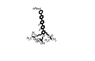 C=C(C)C(=O)OCCCc1cc(-c2ccc(-c3ccc(-c4ccc(C5CCC(CCCCC)CC5)cc4)cc3F)cc2F)cc(CCCOC(=O)C(=C)C)c1OCCC(CO)(CO)CCC